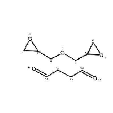 C(OCC1CO1)C1CO1.O=CCCC=O